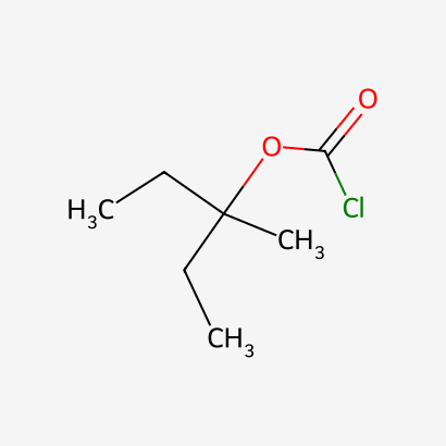 CCC(C)(CC)OC(=O)Cl